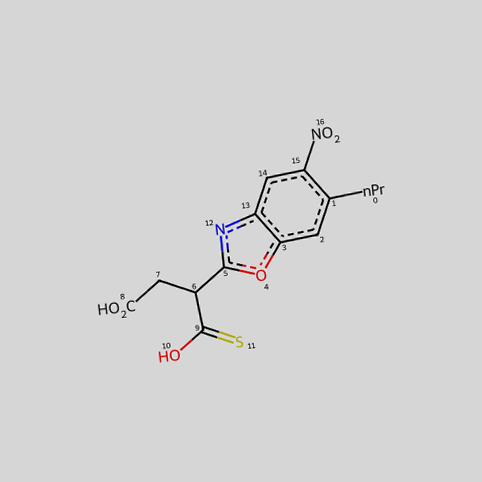 CCCc1cc2oc(C(CC(=O)O)C(O)=S)nc2cc1[N+](=O)[O-]